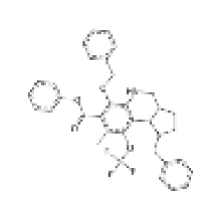 Cc1c(OC(F)(F)F)c2c(c(OCc3ccccc3)c1C(=O)Oc1ccccc1)NCC1CCN(Cc3ccccc3)C21